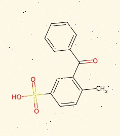 Cc1ccc(S(=O)(=O)O)cc1C(=O)c1ccccc1